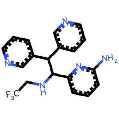 Nc1cccc(C(NCC(F)(F)F)C(c2cccnc2)c2cccnc2)n1